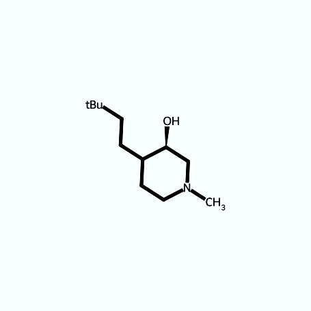 CN1CCC(CCC(C)(C)C)[C@@H](O)C1